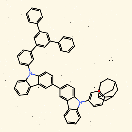 c1ccc(-c2cc(-c3ccccc3)cc(-c3cccc(-n4c5ccccc5c5cc(-c6ccc7c(c6)c6ccccc6n7-c6ccc7c(c6)C6CC8CC(CC7C8)C6)ccc54)c3)c2)cc1